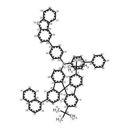 CC(C)(C)c1ccc2c(c1)C1(c3ccc(-c4cccc5ccccc45)cc3-c3ccc(N(c4ccc(-c5ccccc5)cc4)c4ccc(-c5ccc6oc7ccccc7c6c5)cc4)cc31)c1cc(C(C)(C)C)ccc1-2